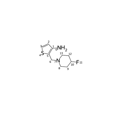 Nc1ccsc1CN1CCC(F)CC1